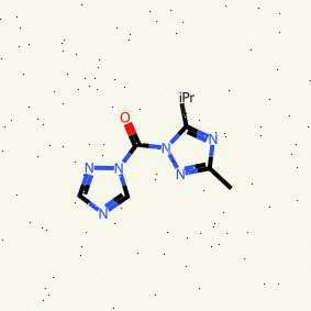 Cc1nc(C(C)C)n(C(=O)n2cncn2)n1